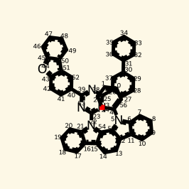 C1=CCCC(n2c3ccccc3c3ccc4c5ccccc5n(-c5nc(-c6cccc(-c7ccccc7)c6)nc(-c6ccc7oc8ccccc8c7c6)n5)c4c32)=C1